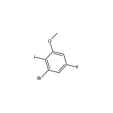 COc1cc(F)cc(Br)c1I